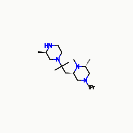 CC(C)N1C[C@H](CC(C)(C)N2CCN[C@H](C)C2)N(C)[C@H](C)C1